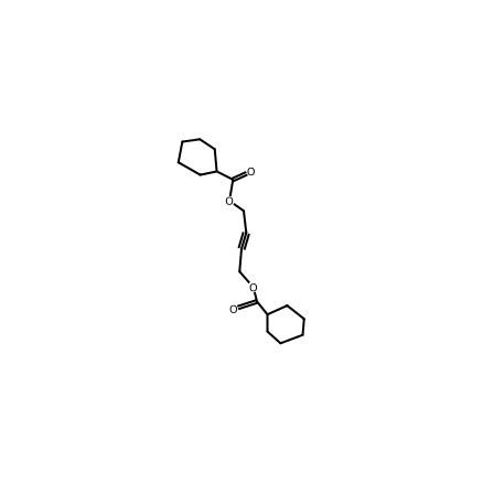 O=C(OCC#CCOC(=O)C1CCCCC1)C1CCCCC1